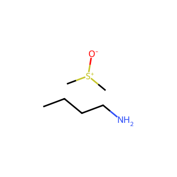 CCCCN.C[S+](C)[O-]